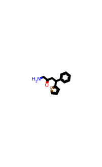 NCC(=O)CC(c1ccccc1)c1cccs1